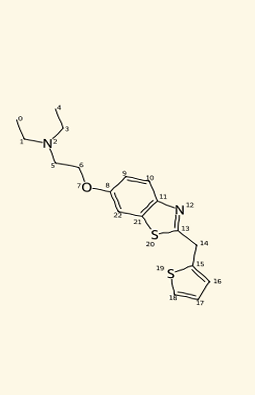 CCN(CC)CCOc1ccc2nc(Cc3cccs3)sc2c1